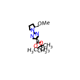 COC[C@@H]1CCCN1c1ncc(B2OC(C)(C)C(C)(C)O2)cn1